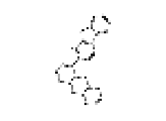 [c]1c(-c2cccc3cc4ccccc4cc23)ccc2c1Cc1ccccc1-2